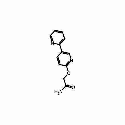 NC(=O)COc1ccc(-c2ccccn2)cn1